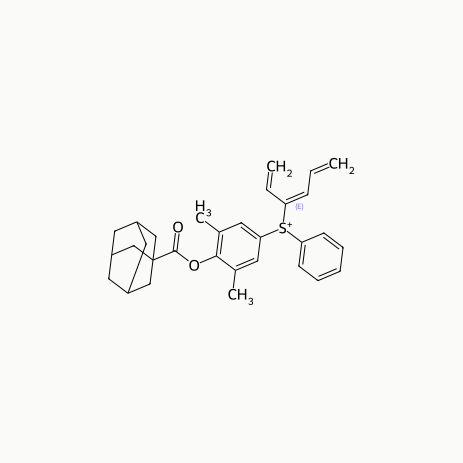 C=C/C=C(\C=C)[S+](c1ccccc1)c1cc(C)c(OC(=O)C23CC4CC(CC(C4)C2)C3)c(C)c1